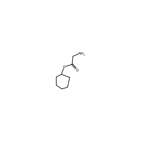 NCC(=O)OC1CCCCC1